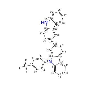 CC(C)(C)c1ccc(-n2c3ccccc3c3ccc(-c4ccc5[nH]c6ccccc6c5c4)cc32)cc1